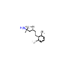 CCC(CCc1c(C(F)(F)F)cccc1C(F)(F)F)CC(C)(N)C(=O)O